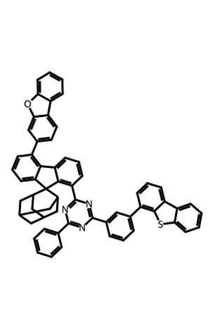 c1ccc(-c2nc(-c3cccc(-c4cccc5c4sc4ccccc45)c3)nc(-c3cccc4c3C3(c5cccc(-c6ccc7c(c6)oc6ccccc67)c5-4)C4CC5CC(C4)CC3C5)n2)cc1